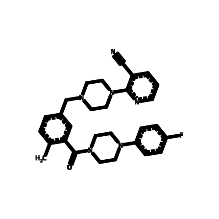 Cc1ccc(CN2CCN(c3ncccc3C#N)CC2)cc1C(=O)N1CCN(c2ccc(F)cc2)CC1